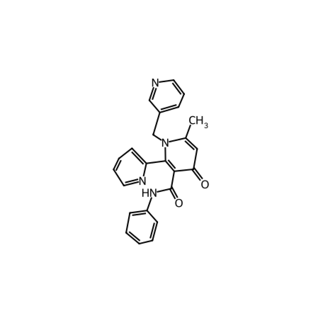 Cc1cc(=O)c(C(=O)Nc2ccccc2)c(-c2ccccn2)n1Cc1cccnc1